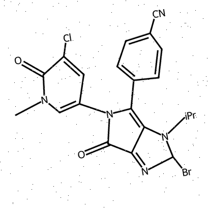 CC(C)N1C2=C(c3ccc(C#N)cc3)N(c3cc(Cl)c(=O)n(C)c3)C(=O)C2=NC1Br